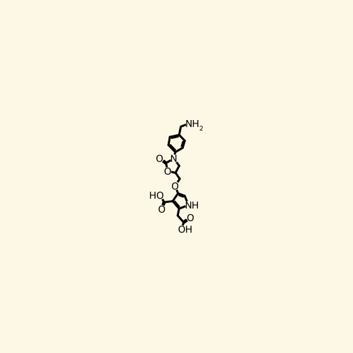 NCc1ccc(N2CC(COc3c[nH]c(CC(=O)O)c3C(=O)O)OC2=O)cc1